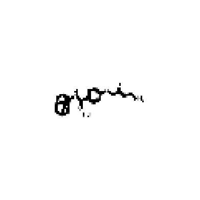 Cl.NCC=C(F)COc1ccc(C(=O)NC2C3CC4CC(C3)CC2C4)cc1